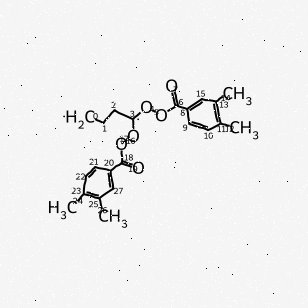 [CH2]CC[C](OOC(=O)c1ccc(C)c(C)c1)OOC(=O)c1ccc(C)c(C)c1